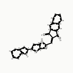 O=C1C(=Cc2nc3sc(-c4cc5ccccc5s4)cc3o2)C(=O)c2cc3ccccc3cc21